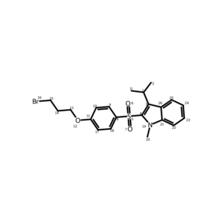 CC(C)c1c(S(=O)(=O)c2ccc(OCCCBr)cc2)n(C)c2ccccc12